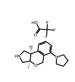 C[C@]12CNC[C@H]1c1cccc(N3CCCC3)c1CO2.O=C(O)C(F)(F)F